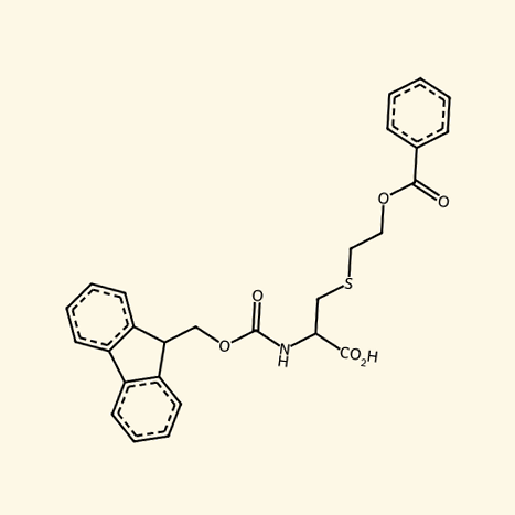 O=C(NC(CSCCOC(=O)c1ccccc1)C(=O)O)OCC1c2ccccc2-c2ccccc21